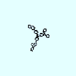 c1ccc(-n2c3ccccc3c3cc(N(c4ccc(-c5ccc6ccccc6c5)cc4)c4ccc(-c5ccc6c(c5)sc5ccccc56)cc4)ccc32)cc1